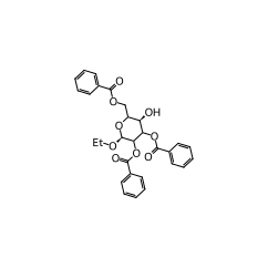 CCO[C@H]1OC(COC(=O)c2ccccc2)[C@@H](O)C(OC(=O)c2ccccc2)C1OC(=O)c1ccccc1